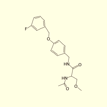 COCC(NC(C)=O)C(=O)NCc1ccc(OCc2cccc(F)c2)cc1